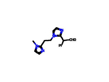 CC(C)C(C=O)c1nccn1CCc1nccn1C